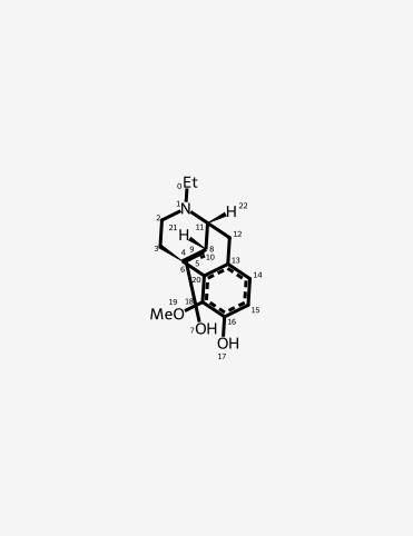 CCN1CC[C@]23CC(O)C=C[C@H]2[C@H]1Cc1ccc(O)c(OC)c13